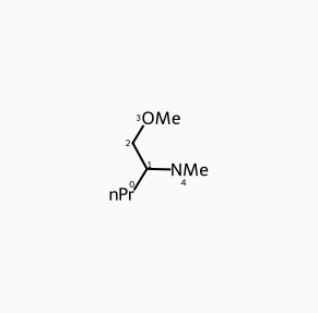 CCCC(COC)NC